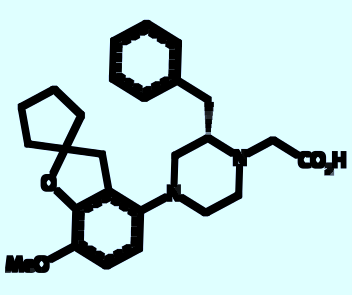 COc1ccc(N2CCN(CC(=O)O)[C@@H](Cc3ccccc3)C2)c2c1OC1(CCCC1)C2